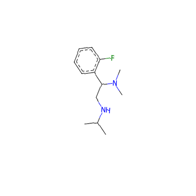 CC(C)NCC(c1ccccc1F)N(C)C